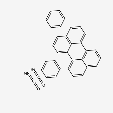 N=C=O.N=C=O.c1cc2cccc3c4cccc5cccc(c(c1)c23)c54.c1ccccc1.c1ccccc1